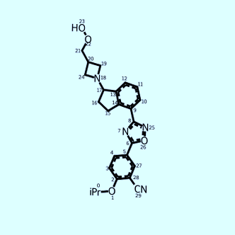 CC(C)Oc1ccc(-c2nc(-c3cccc4c3CCC4N3CC(COO)C3)no2)cc1C#N